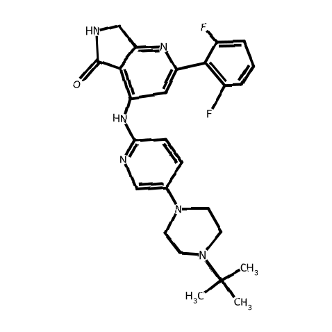 CC(C)(C)N1CCN(c2ccc(Nc3cc(-c4c(F)cccc4F)nc4c3C(=O)NC4)nc2)CC1